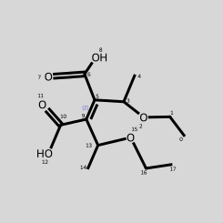 CCOC(C)/C(C(=O)O)=C(/C(=O)O)C(C)OCC